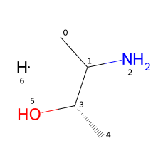 CC(N)[C@H](C)O.[H]